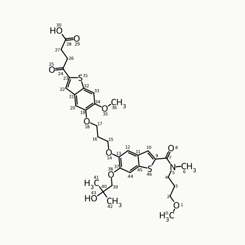 COCCCN(C)C(=O)c1cc2cc(OCCCOc3cc4cc(C(=O)CCC(=O)O)sc4cc3OC)c(OCC(C)(C)O)cc2s1